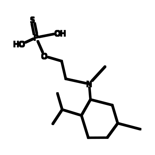 CC1CCC(C(C)C)C(N(C)CCOP(O)(O)=S)C1